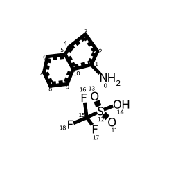 Nc1cccc2ccccc12.O=S(=O)(O)C(F)(F)F